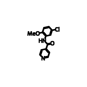 COc1ccc(Cl)cc1NC(=O)c1ccncc1